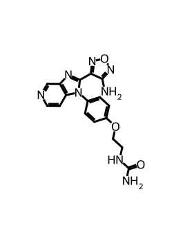 NC(=O)NCCOc1ccc(-n2c(-c3nonc3N)nc3cnccc32)cc1